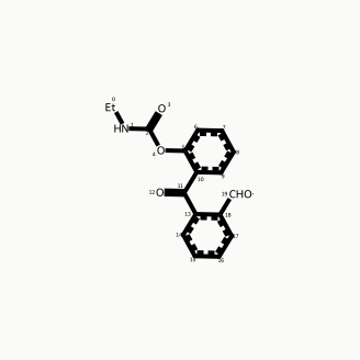 CCNC(=O)Oc1ccccc1C(=O)c1ccccc1[C]=O